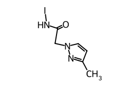 Cc1ccn(CC(=O)NI)n1